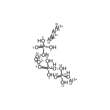 O=P(O)(O)O.O=P(O)(O)O.O=P(O)(O)O.[Al+3].[Al+3].[Al+3].[Al+3].[Al+3].[O-2].[O-2].[O-2]